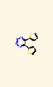 c1csc(-c2nnnnc2-c2cccs2)c1